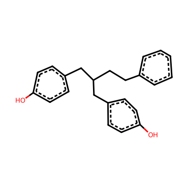 Oc1ccc(CC(CCc2ccccc2)Cc2ccc(O)cc2)cc1